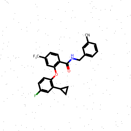 N#Cc1cccc(CNC(=O)c2ccc(C(F)(F)F)cc2Oc2ccc(F)cc2C2CC2)c1